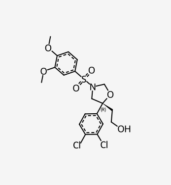 COc1ccc(S(=O)(=O)N2CO[C@](CCO)(c3ccc(Cl)c(Cl)c3)C2)cc1OC